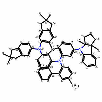 Cc1cc2c3c(c1)N(c1ccc(C(C)(C)C)cc1-c1ccccc1)c1cc(N4c5ccccc5C5(C)CCCC45C)ccc1B3c1cc3c(cc1N2c1ccc2c(c1)CC(C)(C)C2)CC(C)(C)C3